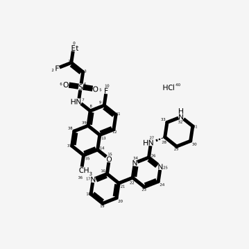 CC/C(F)=C/S(=O)(=O)Nc1c(F)ccc2c(Oc3ncccc3-c3ccnc(N[C@H]4CCCNC4)n3)c(C)ccc12.Cl